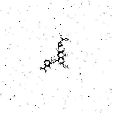 CC(=O)N1CC(Oc2cc3c(NCc4cccc(C(F)F)c4F)nc(C)nc3[nH]c2=O)C1